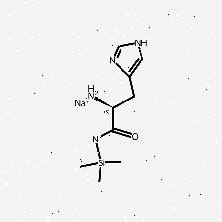 C[Si](C)(C)[N-]C(=O)[C@@H](N)Cc1c[nH]cn1.[Na+]